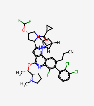 C[C@H](Oc1nc2c(F)c(-c3cccc(Cl)c3Cl)c(CCC#N)cc2c2c1cc([C@H]1C[C@H](OC(F)F)CN1C(=O)C1CC1)n2[C@H]1[C@H]2CN[C@@H]1C2)[C@@H]1CCCN1C